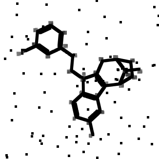 Cc1ccc2c(c1)c1c(n2CCc2cccc(F)c2)CC2CCC1N2C